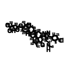 CNCCn1c(-c2ccc(Cl)cc2)nnc1[C@@]12CC[C@]3(C)[C@H](CC[C@@H]4[C@@]5(C)CC[C@H](OC(=O)CC(C)(C)C(=O)O)C(C)(C)[C@@H]5CC[C@]43C)C1=C(C(C)C)C(=O)C2